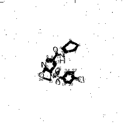 O=C(NC1CCCC1)c1cnc2c(c1)N(S(=O)(=O)c1ccc(Cl)cc1)CCO2